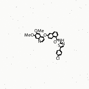 COc1cc2nccc(Oc3ccc4c(C(=O)Nc5ncc(-c6ccc(Cl)cc6)s5)cccc4c3)c2cc1OC